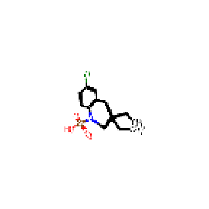 CCC1(CC)Cc2cc(Cl)ccc2N(S(=O)(=O)O)C1